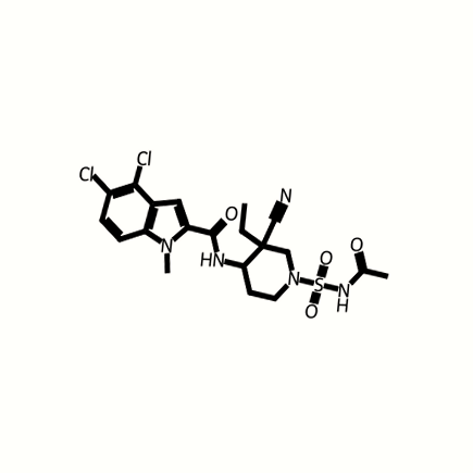 CCC1(C#N)CN(S(=O)(=O)NC(C)=O)CCC1NC(=O)c1cc2c(Cl)c(Cl)ccc2n1C